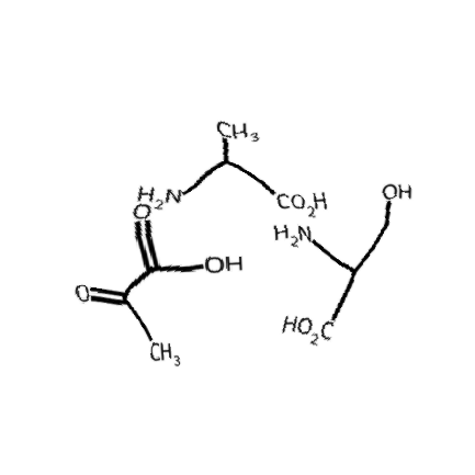 CC(=O)C(=O)O.CC(N)C(=O)O.NC(CO)C(=O)O